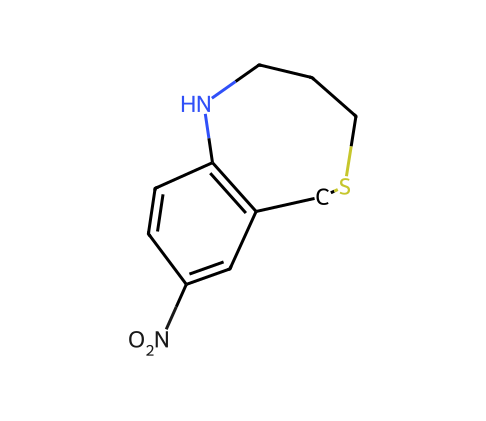 O=[N+]([O-])c1ccc2c(c1)CSCCCN2